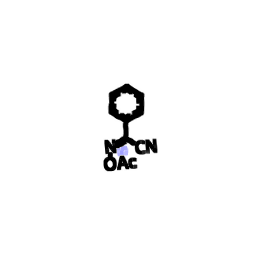 CC(=O)O/N=C(\C#N)c1ccccc1